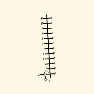 C[Si](C)(Cl)C(F)(F)C(F)(F)C(F)(F)C(F)(F)C(F)(F)C(F)(F)C(F)(F)C(F)(F)C(F)(F)C(F)(F)C(F)(F)C(F)(F)F